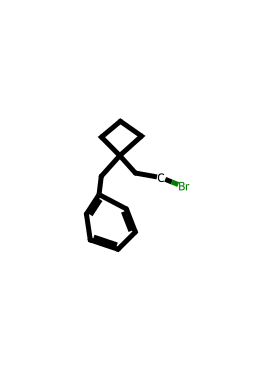 BrCCC1(Cc2ccccc2)CCC1